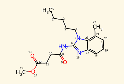 CCCCCn1c(NC(=O)CCC(=O)OC)nc2cccc(C)c21